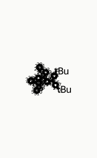 CC(C)(C)c1ccc(N(c2ccc(C(C)(C)C)cc2)c2ccc3c(c2)N(c2cccc4c2sc2ccccc24)c2ccc4c5ccccc5n5c4c2B3c2sc3ccccc3c2-5)cc1